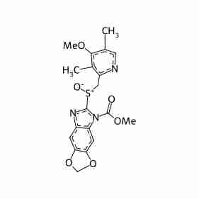 COC(=O)n1c([S+]([O-])Cc2ncc(C)c(OC)c2C)nc2cc3c(cc21)OCO3